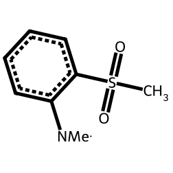 C[N]c1ccccc1S(C)(=O)=O